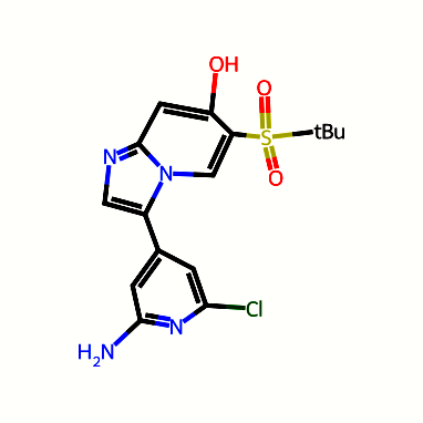 CC(C)(C)S(=O)(=O)c1cn2c(-c3cc(N)nc(Cl)c3)cnc2cc1O